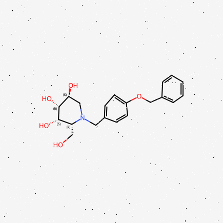 OC[C@@H]1[C@H](O)[C@H](O)[C@@H](O)CN1Cc1ccc(OCc2ccccc2)cc1